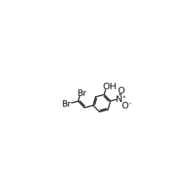 O=[N+]([O-])c1ccc(C=C(Br)Br)cc1O